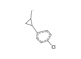 [CH2]C1CC1c1ccc(Cl)cc1